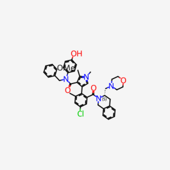 COc1ccccc1CN(C(=O)c1c(-c2c(C)cc(Cl)cc2C(=O)N2Cc3ccccc3C[C@H]2CN2CCOCC2)cn(C)c1C)c1ccc(O)cc1